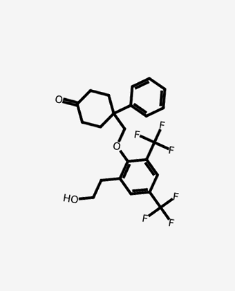 O=C1CCC(COc2c(CCO)cc(C(F)(F)F)cc2C(F)(F)F)(c2ccccc2)CC1